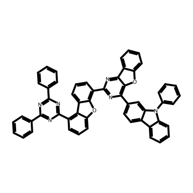 c1ccc(-c2nc(-c3ccccc3)nc(-c3cccc4oc5c(-c6nc(-c7ccc8c9ccccc9n(-c9ccccc9)c8c7)c7oc8ccccc8c7n6)cccc5c34)n2)cc1